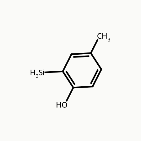 Cc1ccc(O)c([SiH3])c1